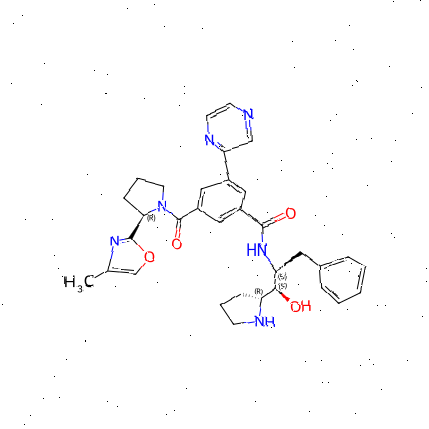 Cc1coc([C@H]2CCCN2C(=O)c2cc(C(=O)N[C@@H](Cc3ccccc3)[C@@H](O)[C@H]3CCCN3)cc(-c3cnccn3)c2)n1